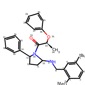 COc1ccc(C(C)(C)C)cc1CNC1CCC(c2ccccc2)N1C(=O)[C@H](C)Oc1ccccc1